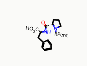 CCCCCN1CCC[C@H]1C(=O)N[C@@H](Cc1ccccc1)C(=O)O